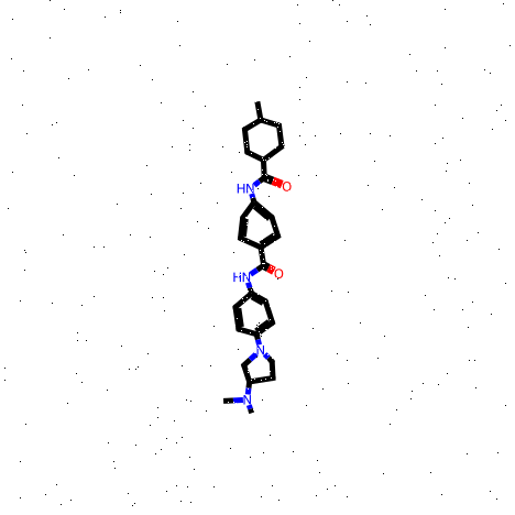 CC1CCC(C(=O)Nc2ccc(C(=O)Nc3ccc(N4CCC(N(C)C)C4)cc3)cc2)CC1